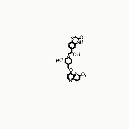 COc1ccc2nccc(OCC3CCN(C[C@H](O)c4ccc5c(c4)NC(=O)CS5)CC3)c2n1.Cl